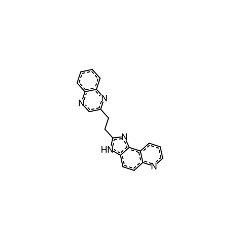 c1ccc2nc(CCc3nc4c(ccc5ncccc54)[nH]3)cnc2c1